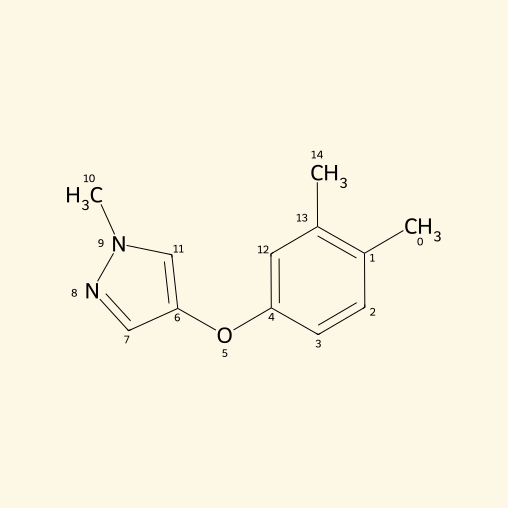 Cc1ccc(Oc2cnn(C)c2)cc1C